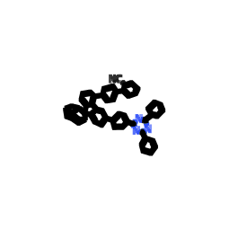 N#Cc1ccccc1-c1ccc(-c2cccc3c2-c2cc(-c4ccc(-c5nc(-c6ccccc6)nc(-c6ccccc6)n5)cc4)ccc2C32C3CC4CC(C3)CC2C4)cc1